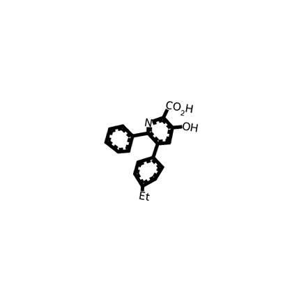 CCc1ccc(-c2cc(O)c(C(=O)O)nc2-c2ccccc2)cc1